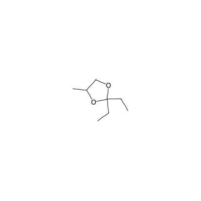 CCC1(CC)OCC(C)O1